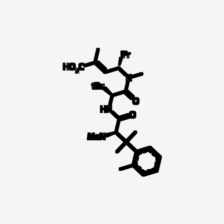 CN[C@@H](C(=O)N[C@H](C(=O)N(C)[C@H](/C=C(\C)C(=O)O)C(C)C)C(C)(C)C)C(C)(C)c1ccccc1C